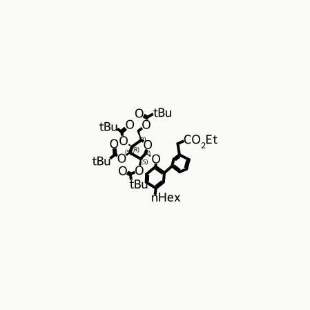 CCCCCCc1ccc(O[C@H]2O[C@H](COC(=O)C(C)(C)C)[C@@H](OC(=O)C(C)(C)C)[C@H](OC(=O)C(C)(C)C)[C@@H]2OC(=O)C(C)(C)C)c(-c2cccc(CC(=O)OCC)c2)c1